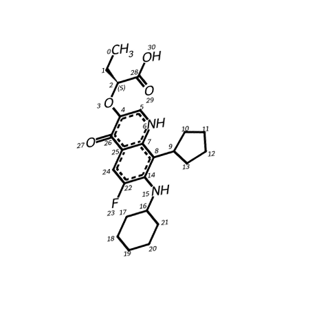 CC[C@H](Oc1c[nH]c2c(C3CCCC3)c(NC3CCCCC3)c(F)cc2c1=O)C(=O)O